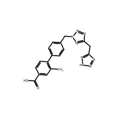 Cc1cc(C(=O)O)ccc1-c1ccc(Cn2nnc(Cc3nn[nH]n3)n2)cc1